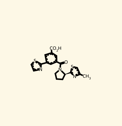 Cc1csc([C@H]2CCCN2C(=O)c2cc(C(=O)O)cc(-c3nccs3)c2)n1